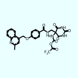 Cc1cc(COc2ccc(C(=O)NCC3(NC(=O)OC(=O)C(F)(F)F)C(=O)NC(=O)NC3=O)cc2)c2ccccc2n1